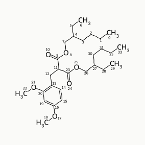 CCCCC(CC)COC(=O)C(Cc1ccc(OC)cc1OC)C(=O)OCC(CC)CCCC